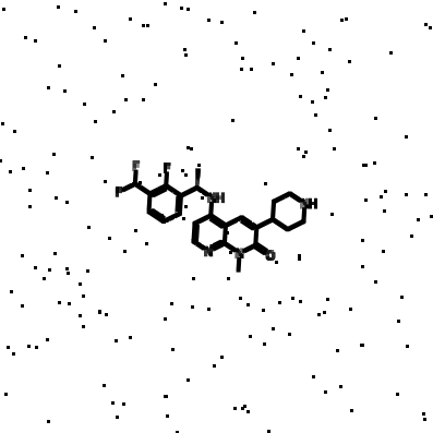 C[C@@H](Nc1ccnc2c1cc(C1CCNCC1)c(=O)n2C)c1cccc(C(F)F)c1F